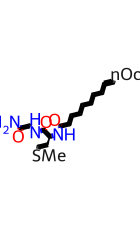 CCCCCCCC/C=C/CCCCCCCC(=O)N[C@@H](CCSC)C(=O)NCC(N)=O